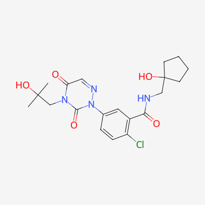 CC(C)(O)Cn1c(=O)cnn(-c2ccc(Cl)c(C(=O)NCC3(O)CCCC3)c2)c1=O